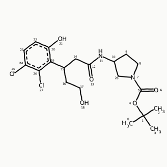 CC(C)(C)OC(=O)N1CCC(NC(=O)CC(CCO)c2c(O)ccc(Cl)c2Cl)C1